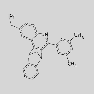 Cc1cc(C)cc(-c2nc3ccc(CC(C)C)cc3c3c2C2CC3c3ccccc32)c1